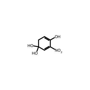 O=[N+]([O-])C1=CC(O)(O)CC=C1O